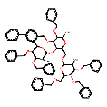 CO[C@H]1OC(CO[C@@H]2OC(COCc3ccccc3)[C@@H](OCc3ccccc3)C(OCc3ccccc3)C2OC(C)=O)[C@@H](O[C@H]2OC(COCc3ccccc3)[C@@H](OCc3ccccc3)C(OCc3ccccc3)C2OC(C)=O)C(OCc2ccccc2)C1OCc1ccccc1